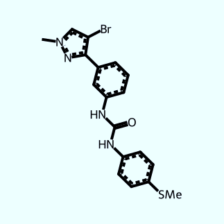 CSc1ccc(NC(=O)Nc2cccc(-c3nn(C)cc3Br)c2)cc1